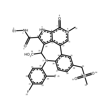 CCNC(=O)c1[nH]c2c(=O)n(C)cc3c2c1C(C(=O)O)N(c1ccc(F)cc1F)c1ccc(CS(C)(=O)=O)cc1-3